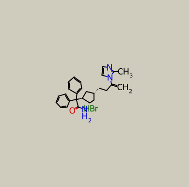 Br.C=C(CC[C@@H]1CC[C@@H](C(C(N)=O)(c2ccccc2)c2ccccc2)C1)n1ccnc1C